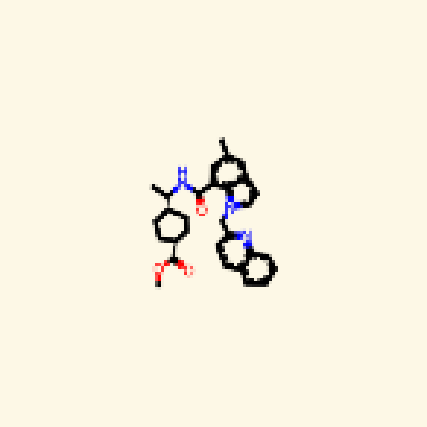 COC(=O)[C@H]1CC[C@H](C(C)NC(=O)c2cc(C)cc3ccn(Cc4ccc5ccccc5n4)c23)CC1